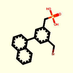 O=P(O)(O)Cc1cc(CBr)cc(-c2cccc3ccccc23)c1